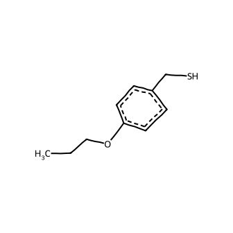 CCCOc1ccc(CS)cc1